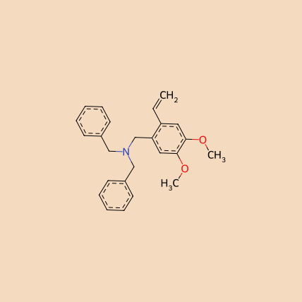 C=Cc1cc(OC)c(OC)cc1CN(Cc1ccccc1)Cc1ccccc1